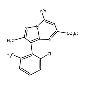 CCCc1cc(C(=O)OCC)nc2c(-c3c(C)cccc3Cl)c(C)nn12